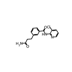 NC(=O)CCc1cccc(C(=O)Nc2ncccc2Cl)c1